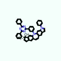 CC1(C)C=Cc2cc3c(cc21)N(c1cccc(-c2nc(-c4ccccc4)nc(-c4ccccc4)n2)c1)c1cc2c(ccn2-c2ccccc2)cc1C=C3